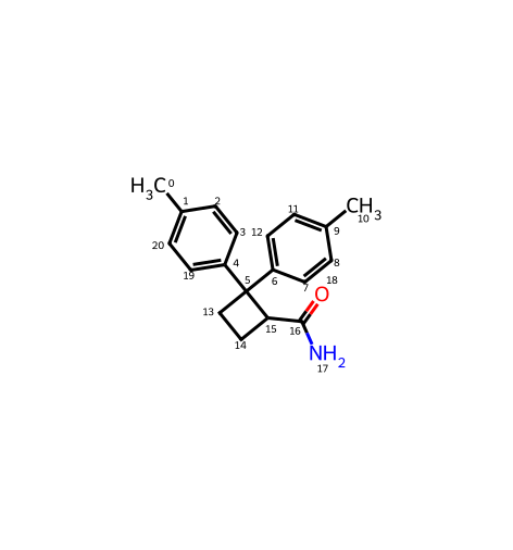 Cc1ccc(C2(c3ccc(C)cc3)CCC2C(N)=O)cc1